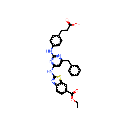 CCOC(=O)c1ccc2nc(Nc3cc(Cc4ccccc4)nc(Nc4ccc(CCC(=O)O)cc4)n3)sc2c1